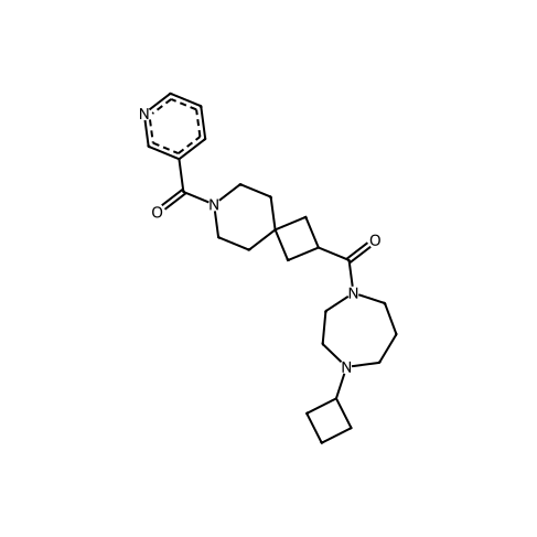 O=C(c1cccnc1)N1CCC2(CC1)CC(C(=O)N1CCCN(C3CCC3)CC1)C2